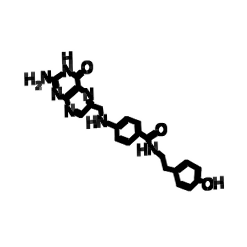 Nc1nc2ncc(CNc3ccc(C(=O)NCCc4ccc(O)cc4)cc3)nc2c(=O)[nH]1